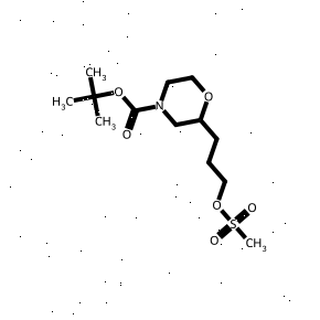 CC(C)(C)OC(=O)N1CCOC(CCCOS(C)(=O)=O)C1